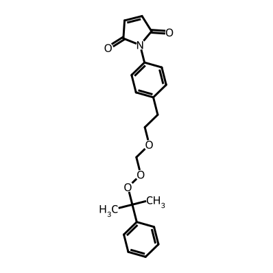 CC(C)(OOCOCCc1ccc(N2C(=O)C=CC2=O)cc1)c1ccccc1